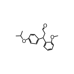 COc1ccccc1C(CC=O)c1ccc(OC(C)C)cc1